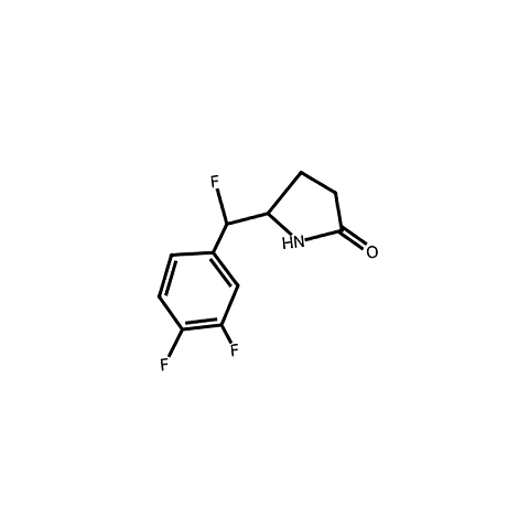 O=C1CCC(C(F)c2ccc(F)c(F)c2)N1